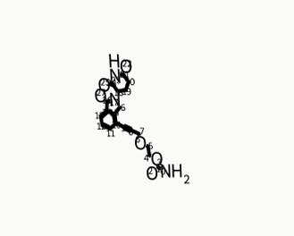 NC(=O)OCCOCC#Cc1cccc2c1CN(C1CCC(=O)NC1=O)C2=O